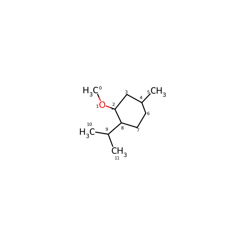 CO[C]1CC(C)CCC1C(C)C